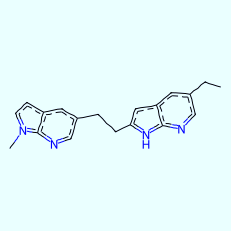 CCc1cnc2[nH]c(CCc3cnc4c(ccn4C)c3)cc2c1